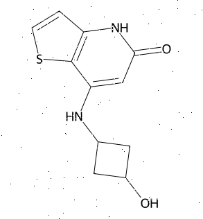 O=c1cc(NC2CC(O)C2)c2sccc2[nH]1